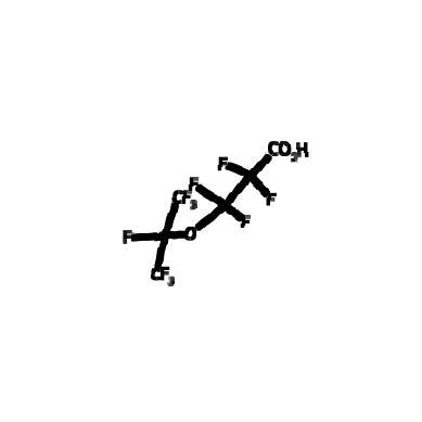 O=C(O)C(F)(F)C(F)(F)OC(F)(C(F)(F)F)C(F)(F)F